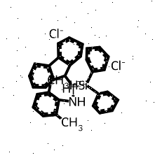 Cc1cccc(C)c1[NH][Hf+2]([CH]1c2ccccc2-c2ccccc21)[SiH](c1ccccc1)c1ccccc1.[Cl-].[Cl-]